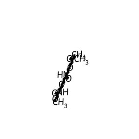 COCC(=O)NCCOCCC(=O)NCCOCCC(=O)C(C)C